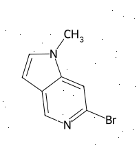 Cn1ccc2cnc(Br)cc21